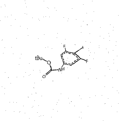 CC(C)(C)OC(=O)Nc1cc(F)c(I)c(F)c1